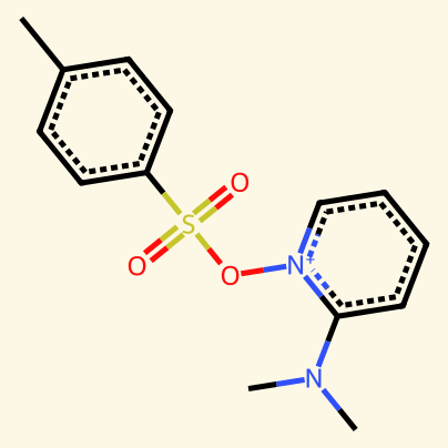 Cc1ccc(S(=O)(=O)O[n+]2ccccc2N(C)C)cc1